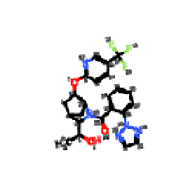 CC(O)C1C2CC(Oc3ccc(C(F)(F)F)cn3)C(C2)N1C(=O)c1ccccc1-n1nccn1